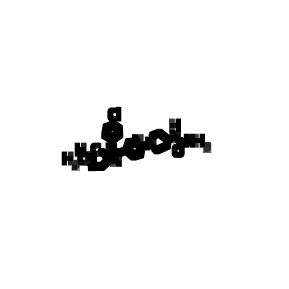 C=N/C=C\c1nc(-c2ccc(N3CCC(NC(N)=O)CC3)nc2)n(-c2ccc(Cl)cc2)c1C